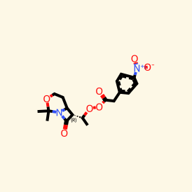 CC(OOC(=O)Cc1ccc([N+](=O)[O-])cc1)[C@@H]1C(=O)N2C1CCOC2(C)C